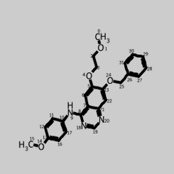 COCCOc1cc2c(Nc3ccc(OC)cc3)ncnc2cc1OCc1ccccc1